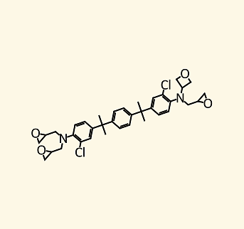 CC(C)(c1ccc(C(C)(C)c2ccc(N(CC3CO3)C3COC3)c(Cl)c2)cc1)c1ccc(N(CC2CO2)CC2CO2)c(Cl)c1